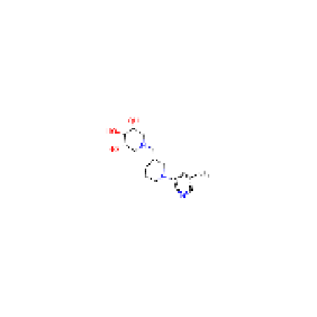 OC1[C@H](O)CN(C[C@H]2CCCN(c3cncc(C(F)(F)F)c3)C2)C[C@@H]1O